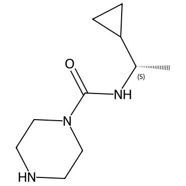 C[C@H](NC(=O)N1CCNCC1)C1CC1